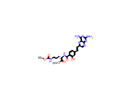 COC(=O)[C@H](CCCNC(=O)OC(C)(C)C)NC(=O)c1ccc(/C=C/c2cnc3nc(N)nc(N)c3n2)cc1O